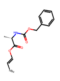 CCCC/C=C/OC(=O)[C@H](C)NC(=O)OCc1ccccc1